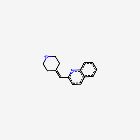 C(=C1CCNCC1)c1ccc2ccccc2n1